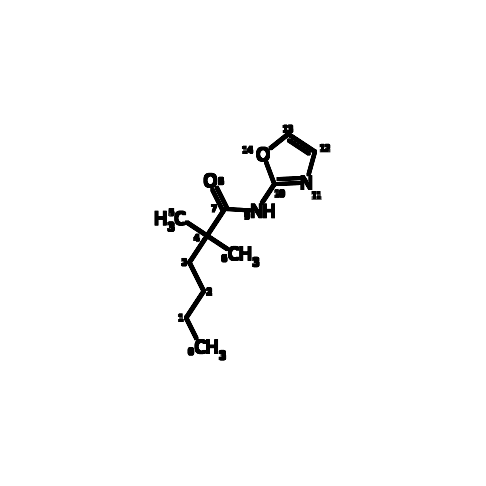 CCCCC(C)(C)C(=O)Nc1ncco1